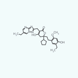 CCc1cnc2nc(CC3=C(O)CC(CCc4cc(CC)c(O)cc4OC)(C4CCCC4)OC3=O)nn2c1